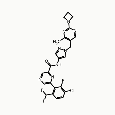 Cc1nc(N2CCC2)ncc1Cn1cc(NC(=O)c2cncc(-c3c(C(F)F)ccc(Cl)c3F)n2)cn1